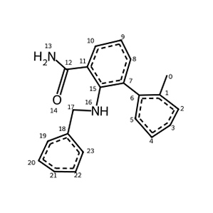 Cc1ccccc1-c1cccc(C(N)=O)c1NCc1ccccc1